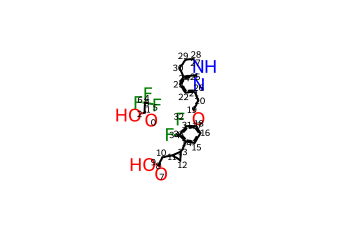 O=C(O)C(F)(F)F.O=C(O)CC1CC1c1ccc(OCCc2ccc3c(n2)NCCC3)c(F)c1F